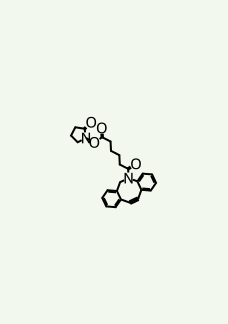 O=C(CCCCC(=O)N1Cc2ccccc2C#Cc2ccccc21)ON1CCCC1=O